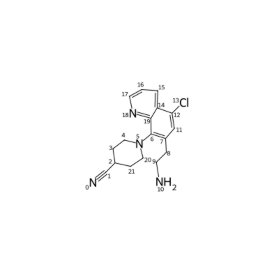 N#CC1CCN(c2c(CCN)cc(Cl)c3cccnc23)CC1